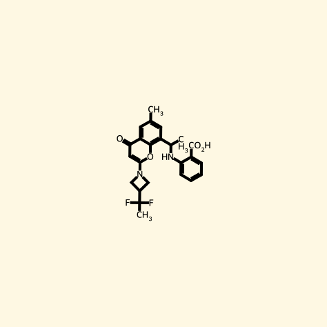 Cc1cc(C(C)Nc2ccccc2C(=O)O)c2oc(N3CC(C(C)(F)F)C3)cc(=O)c2c1